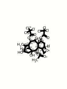 CC(=O)N[C@@]12CO[C@@H]1C[C@H](OC(=O)C(Cl)(Cl)Cl)[C@@]1(C)C(=O)[C@H](OC(=O)C(Cl)(Cl)Cl)C3=C(C)[C@@H](O)C[C@@](O)([C@@H](C)[C@H]21)C3(C)C